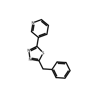 c1ccc(Cc2nnc(-c3cccnc3)s2)cc1